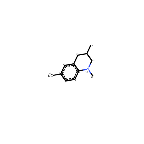 CC1Cc2cc(C#N)ccc2N(C)C1